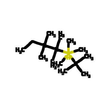 CC[Si](C)(C)[Si](C)(C)[SH](C)(C)(C)[Si](C)(C)C